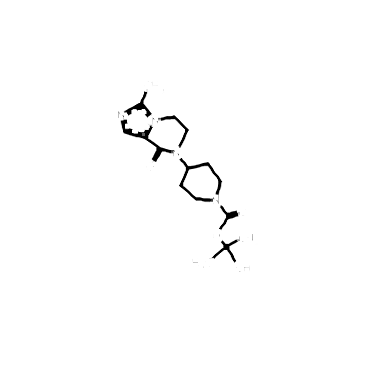 Cc1ncc2n1CCN(C1CCN(C(=O)OC(C)(C)C)CC1)C2=O